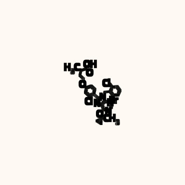 C[C@H](CCOc1ccc(-c2nc3c(OC4(C)CC4)ncnc3n2Cc2c(Cl)cccc2Br)c(Cl)c1)C(=O)O